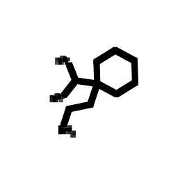 CCCC(CCC)C1(CCN)CCCCC1